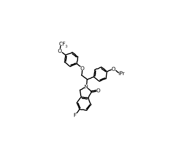 CC(C)Oc1ccc(C(COc2ccc(OC(F)(F)F)cc2)N2Cc3cc(F)ccc3C2=O)cc1